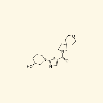 O=C(c1cnc(N2CCC[C@H](O)C2)s1)N1CCC2(CCOCC2)C1